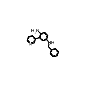 Nc1ccc(NCc2ccccc2)cc1-c1cccnc1